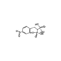 O=[N+]([O-])c1ccc(CC(P(=O)(O)O)P(=O)(O)O)cc1